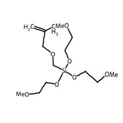 C=C(C)COC[Si](OCCOC)(OCCOC)OCCOC